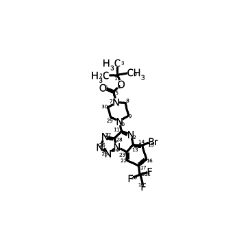 CC(C)(C)OC(=O)N1CCN(c2nc3c(Br)cc(C(F)(F)F)cc3n3nnnc23)CC1